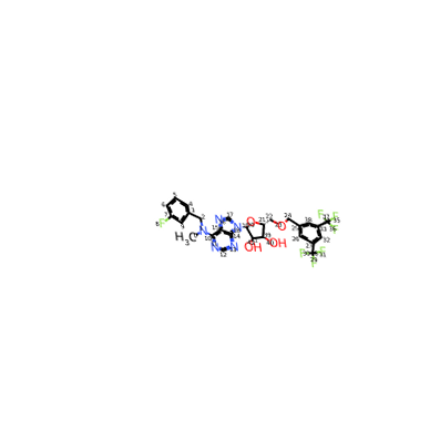 CN(Cc1cccc(F)c1)c1ncnc2c1ncn2[C@@H]1O[C@H](COCc2cc(C(F)(F)F)cc(C(F)(F)F)c2)[C@@H](O)[C@H]1O